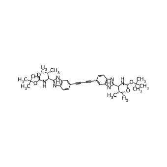 CC(C)C(NC(=O)OC(C)(C)C)c1nc2ccc(C#CC#Cc3ccc4nc([C@@H](NC(=O)OC(C)(C)C)C(C)C)[nH]c4c3)cc2[nH]1